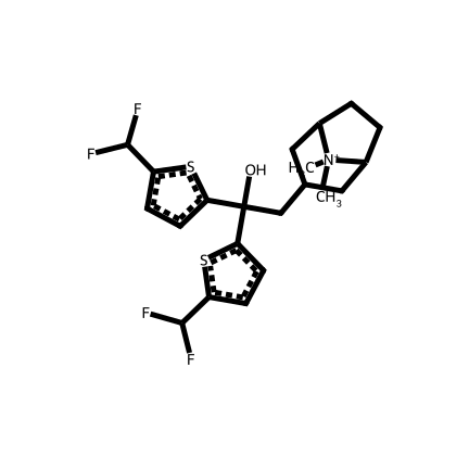 C[N+]1(C)C2CCC1CC(CC(O)(c1ccc(C(F)F)s1)c1ccc(C(F)F)s1)C2